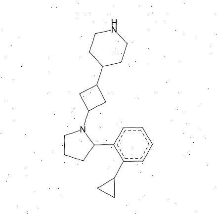 c1ccc(C2CCCN2C2CC(C3CCNCC3)C2)c(C2CC2)c1